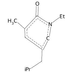 CCn1cc(CC(C)C)cc(C)c1=O